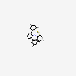 Cc1cc(C)cc(-c2cccc(-c3cc(C)cc(C)c3)c2-n2c3c(sc2=S)CCCC3)c1